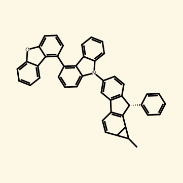 CC1C2C=CC3=C(C12)[C@@H](c1ccccc1)c1ccc(-n2c4ccccc4c4c(-c5cccc6oc7ccccc7c56)cccc42)cc13